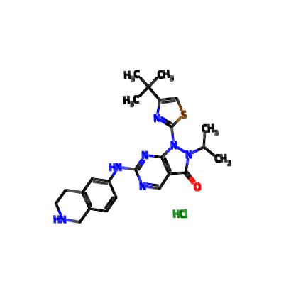 CC(C)n1c(=O)c2cnc(Nc3ccc4c(c3)CCNC4)nc2n1-c1nc(C(C)(C)C)cs1.Cl